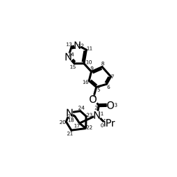 CC(C)N(C(=O)Oc1cccc(-c2cncnc2)c1)C1CN2CCC1CC2